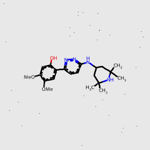 COc1cc(O)c(-c2ccc(NC3CC(C)(C)NC(C)(C)C3)nn2)cc1OC